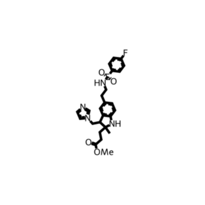 COC(=O)CCC1(C)Nc2ccc(CCNS(=O)(=O)c3ccc(F)cc3)cc2C1Cn1ccnc1